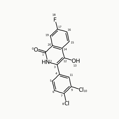 O=c1[nH]c(-c2ccc(Cl)c(Cl)c2)c(O)c2ccc(F)cc12